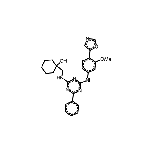 COc1cc(Nc2nc(NCC3(O)CCCCC3)nc(-c3ccccc3)n2)ccc1-c1cnco1